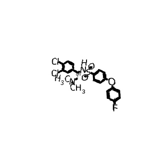 CN(C)C[C@@H](NS(=O)(=O)c1ccc(Oc2ccc(F)cc2)cc1)c1ccc(Cl)c(Cl)c1